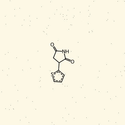 O=C1CC(c2cccs2)C(=O)N1